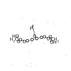 C=C(CO)C(=O)OCCOc1ccc(-c2ccc(-c3ccc(-c4ccc(OCCOC(=O)C(=C)CO)cc4)cc3OCCCCC=C(F)F)cc2)cc1